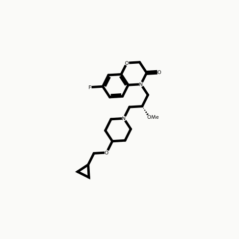 CO[C@H](CN1CCC(OCC2CC2)CC1)CN1C(=O)COc2cc(F)ccc21